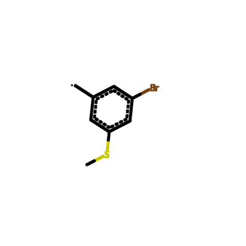 [CH2]c1cc(Br)cc(SC)c1